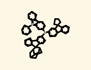 c1ccc(-n2c3ccccc3c3ccc(N(c4ccc5c(c4)-c4ccccc4C54C5CC6CC(C5)CC4C6)c4ccc5c(c4)C4(CCCC4)c4ccccc4-5)cc32)cc1